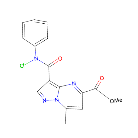 COC(=O)c1cc(C)n2ncc(C(=O)N(Cl)c3ccccc3)c2n1